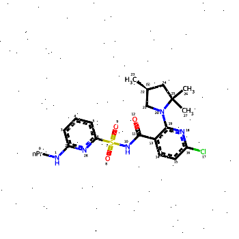 CCCNc1cccc(S(=O)(=O)NC(=O)c2ccc(Cl)nc2N2C[C@@H](C)CC2(C)C)n1